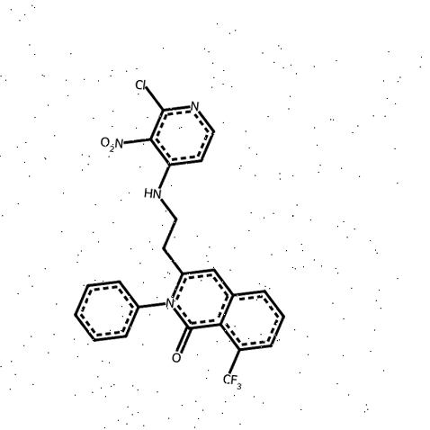 O=c1c2c(C(F)(F)F)cccc2cc(CCNc2ccnc(Cl)c2[N+](=O)[O-])n1-c1ccccc1